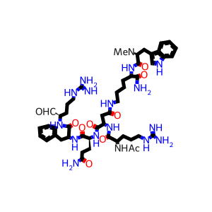 CN[C@@H](Cc1c[nH]c2ccccc12)C(=O)NC(CCCCNC(=O)CC(NC(=O)C(CCCNC(=N)N)NC(C)=O)C(=O)N[C@@H](CCC(N)=O)C(=O)NC(Cc1ccccc1)C(=O)N[C@H](C=O)CCCNC(=N)N)C(N)=O